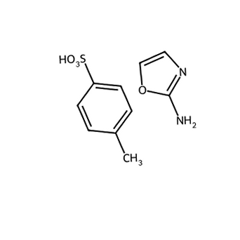 Cc1ccc(S(=O)(=O)O)cc1.Nc1ncco1